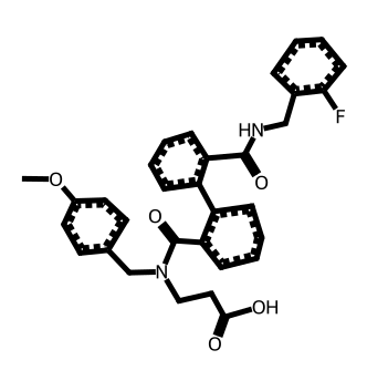 COc1ccc(CN(CCC(=O)O)C(=O)c2ccccc2-c2ccccc2C(=O)NCc2ccccc2F)cc1